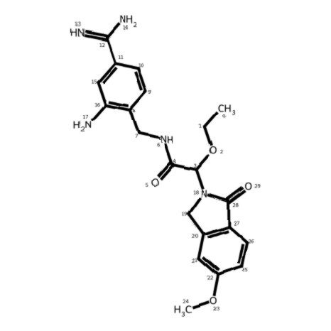 CCOC(C(=O)NCc1ccc(C(=N)N)cc1N)N1Cc2cc(OC)ccc2C1=O